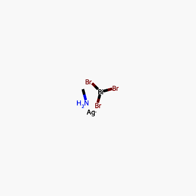 CN.[Ag].[Br][Bi]([Br])[Br]